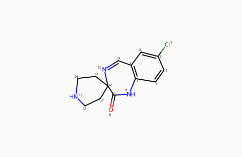 O=C1Nc2ccc(Cl)cc2C=NC12CCNCC2